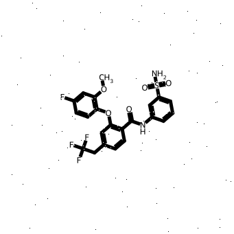 COc1cc(F)ccc1Oc1cc(CC(F)(F)F)ccc1C(=O)Nc1cccc(S(N)(=O)=O)c1